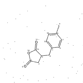 O=C1CC(Cc2ccc(I)cc2)C(=O)O1